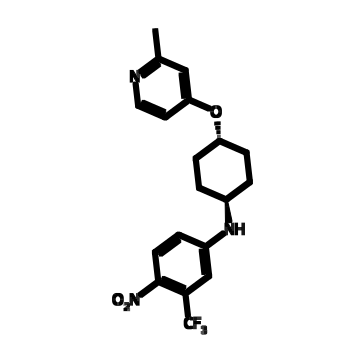 Cc1cc(O[C@H]2CC[C@H](Nc3ccc([N+](=O)[O-])c(C(F)(F)F)c3)CC2)ccn1